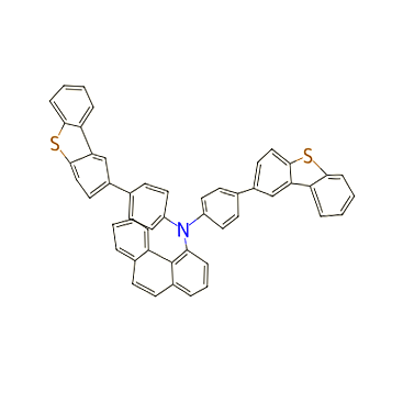 c1ccc2c(c1)ccc1cccc(N(c3ccc(-c4ccc5sc6ccccc6c5c4)cc3)c3ccc(-c4ccc5sc6ccccc6c5c4)cc3)c12